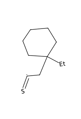 CCC1(C[C]=S)CCCCC1